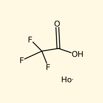 O=C(O)C(F)(F)F.[Ho]